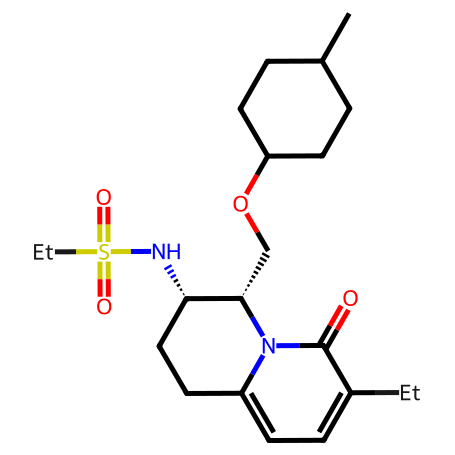 CCc1ccc2n(c1=O)[C@@H](COC1CCC(C)CC1)[C@@H](NS(=O)(=O)CC)CC2